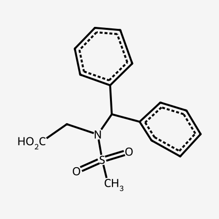 CS(=O)(=O)N(CC(=O)O)C(c1ccccc1)c1ccccc1